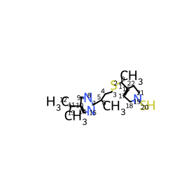 CC(SCCC(C)c1ncc(C(C)C)cn1)C1=CCN(S)CC1